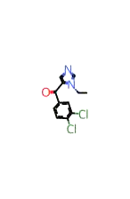 CCn1cncc1C(=O)c1ccc(Cl)c(Cl)c1